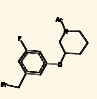 CC(=O)N1CCCC(Oc2cc(F)cc(CC(C)C)c2)C1